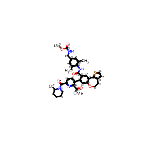 CCC1CCCCN1C(=O)c1ccc(-c2cc3c(cc2C(=O)Nc2c(C)cc(CNC(=O)OC(C)(C)C)cc2C)-c2sccc2CCO3)c(C(=O)OC)n1